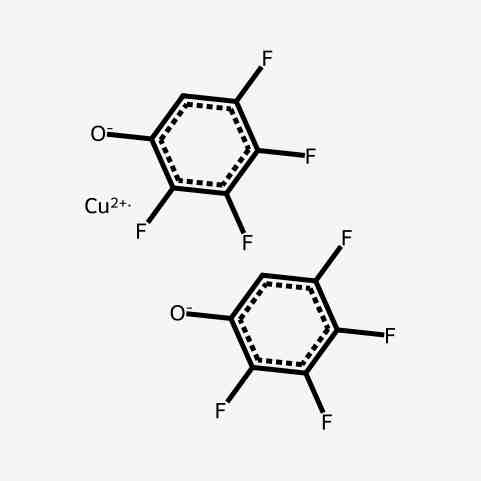 [Cu+2].[O-]c1cc(F)c(F)c(F)c1F.[O-]c1cc(F)c(F)c(F)c1F